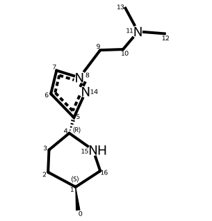 C[C@H]1CC[C@H](c2ccn(CCN(C)C)n2)NC1